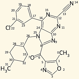 Cc1ocnc1C(=O)c1nc2nc(C#N)nc(-c3cccc(Cl)c3)c2n1CC1CCC(C)CC1